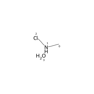 CNCl.O